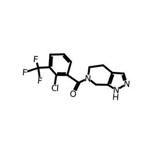 O=C(c1cccc(C(F)(F)F)c1Cl)N1CCc2cn[nH]c2C1